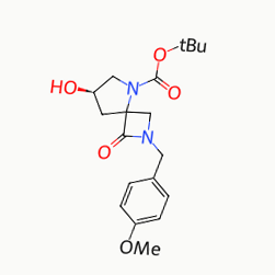 COc1ccc(CN2CC3(C[C@@H](O)CN3C(=O)OC(C)(C)C)C2=O)cc1